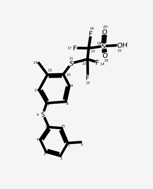 Cc1cccc(Sc2ccc(SC(F)(F)C(F)(F)S(=O)(=O)O)c(C)c2)c1